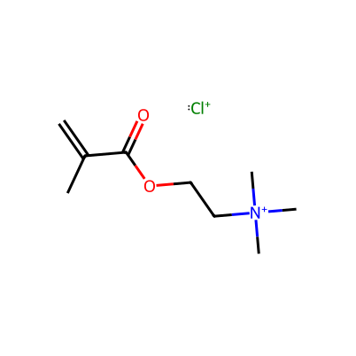 C=C(C)C(=O)OCC[N+](C)(C)C.[Cl+]